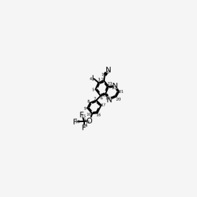 N#Cc1c(I)cc(-c2ccc(OC(F)(F)F)cc2)c2nccnc12